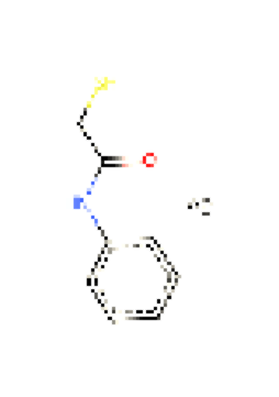 O=C(CS)Nc1ccccc1.[Ag]